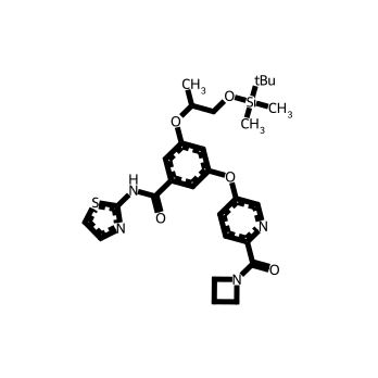 CC(CO[Si](C)(C)C(C)(C)C)Oc1cc(Oc2ccc(C(=O)N3CCC3)nc2)cc(C(=O)Nc2nccs2)c1